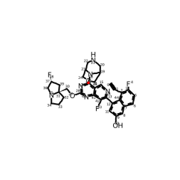 C#Cc1c(F)ccc2cc(O)cc(-c3ncc4c(N5C6CNCC5COC6)nc(OC[C@@]56CCCN5C[C@H](F)C6)nc4c3F)c12